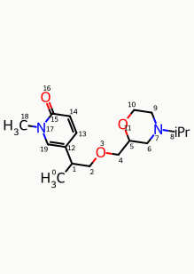 CC(COCC1CN(C(C)C)CCO1)c1ccc(=O)n(C)c1